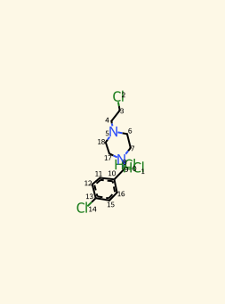 Cl.Cl.ClCCN1CCN(Cc2ccc(Cl)cc2)CC1